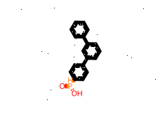 O=[PH](O)c1ccc(-c2cccc(-c3ccccc3)c2)cc1